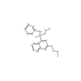 CCCCc1cc(C(C)(CCC)Sc2ccccc2)c2ccccc2c1